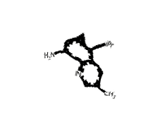 Cc1cnc2c(N)ccc(C(C)C)c2c1